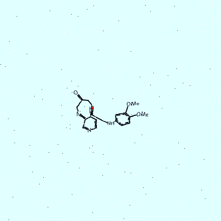 COc1ccc(NC2=NC=C3CC(=O)CN=C4C=NC=CC34N2)cc1OC